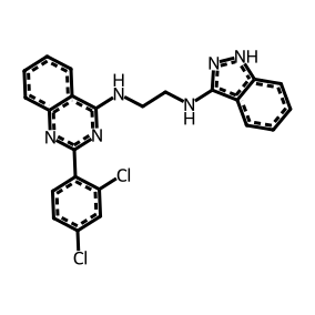 Clc1ccc(-c2nc(NCCNc3n[nH]c4ccccc34)c3ccccc3n2)c(Cl)c1